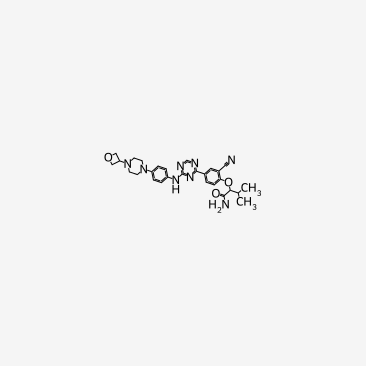 CC(C)C(Oc1ccc(-c2ncnc(Nc3ccc(N4CCN(C5COC5)CC4)cc3)n2)cc1C#N)C(N)=O